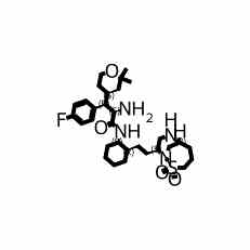 CC1(C)C[C@@H]([C@H](c2ccc(F)cc2)[C@H](N)C(=O)N[C@H]2CCCC[C@@H]2CC[C@H]2CN[C@@H]3CCCS(=O)(=O)N2C3)CCO1